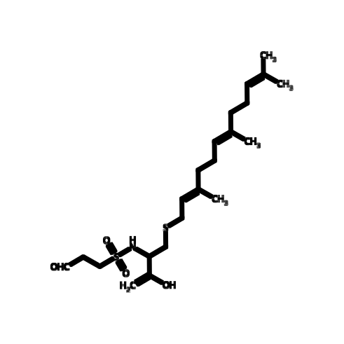 C=C(O)C(CSC/C=C(\C)CC/C=C(\C)CCC=C(C)C)NS(=O)(=O)CCC=O